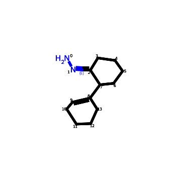 N/N=C1\CCCCC1C1=CCCCC1